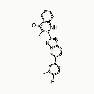 Cc1cc(-c2ccc3nc(-c4[nH]c5ccccc5c(=O)c4C)nn3c2)ccc1F